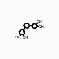 Oc1ccc(-c2cccc(-c3ccc(O)c(O)c3)c2)cc1O